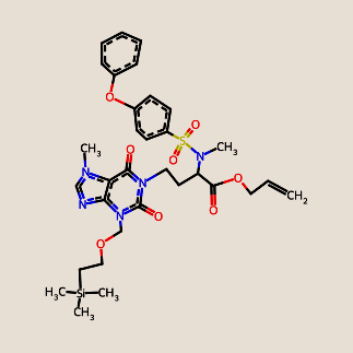 C=CCOC(=O)C(CCn1c(=O)c2c(ncn2C)n(COCC[Si](C)(C)C)c1=O)N(C)S(=O)(=O)c1ccc(Oc2ccccc2)cc1